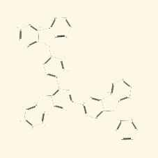 c1ccc(-n2c3ccccc3c3cc(-c4nc(-c5ccc(-n6c7ccccc7c7ccccc76)cc5)c5oc6ccccc6c5n4)ccc32)cc1